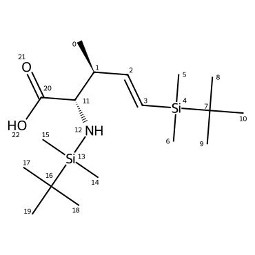 C[C@@H](/C=C/[Si](C)(C)C(C)(C)C)[C@H](N[Si](C)(C)C(C)(C)C)C(=O)O